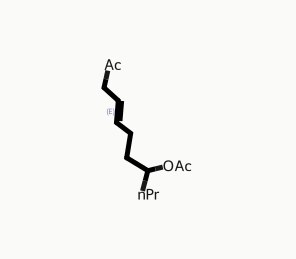 CCCC(CC/C=C/CC(C)=O)OC(C)=O